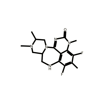 Cc1c(F)c2c3c(nc(=O)n(C)c3c1F)N1CC(C)N(C)CC1CN2